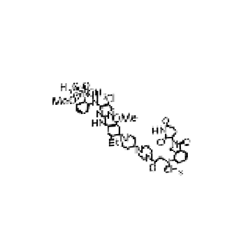 CCc1cc(Nc2ncc(Cl)c(Nc3cccc(OC)c3N(C)S(C)(=O)=O)n2)c(OC)cc1N1CCC(N2CCN(C(=O)CN(C)c3cccc4c3CN(C3CCC(=O)NC3=O)C4=O)CC2)CC1